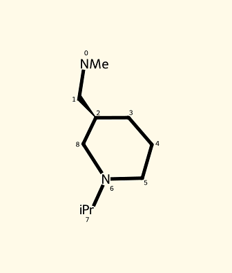 CNC[C@H]1CCCN(C(C)C)C1